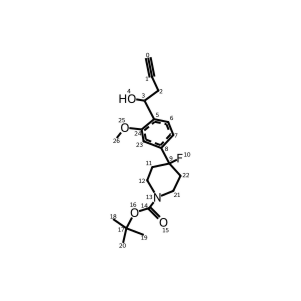 C#CCC(O)c1ccc(C2(F)CCN(C(=O)OC(C)(C)C)CC2)cc1OC